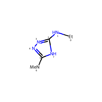 CCNc1nnc(NC)[nH]1